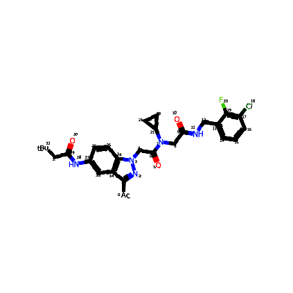 CC(=O)c1nn(CC(=O)N(CC(=O)NCc2cccc(Cl)c2F)C2CC2)c2ccc(NC(=O)CC(C)(C)C)cc12